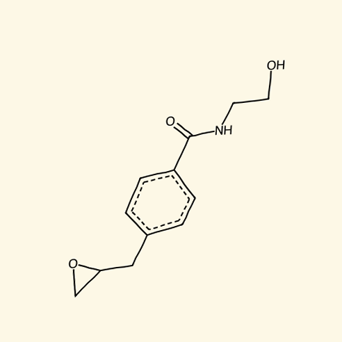 O=C(NCCO)c1ccc(CC2CO2)cc1